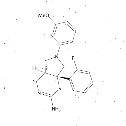 COc1cccc(N2C[C@@H]3CN=C(N)S[C@@]3(c3ccccc3F)C2)n1